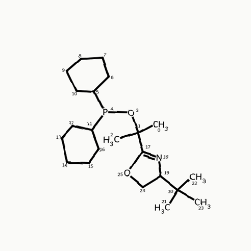 CC(C)(OP(C1CCCCC1)C1CCCCC1)C1=NC(C(C)(C)C)CO1